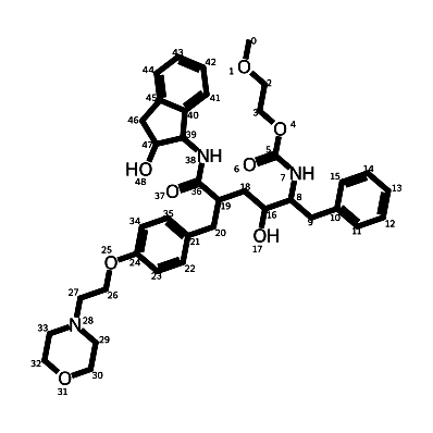 COCCOC(=O)NC(Cc1ccccc1)C(O)CC(Cc1ccc(OCCN2CCOCC2)cc1)C(=O)NC1c2ccccc2CC1O